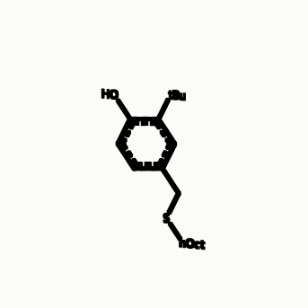 CCCCCCCCSCc1ccc(O)c(C(C)(C)C)c1